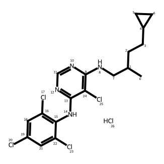 CC(CCC1CC1)CNc1ncnc(Nc2c(Cl)cc(Cl)cc2Cl)c1Cl.Cl